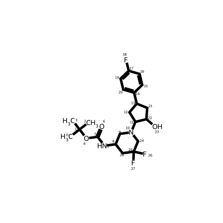 CC(C)(C)OC(=O)NC1CN(C2CC(c3ccc(F)cc3)CC2O)CC(F)(F)C1